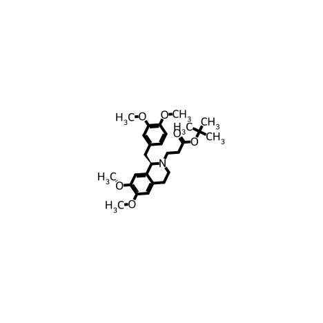 COc1ccc(C[C@@H]2c3cc(OC)c(OC)cc3CCN2CCC(=O)OC(C)(C)C)cc1OC